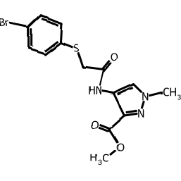 COC(=O)c1nn(C)cc1NC(=O)CSc1ccc(Br)cc1